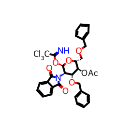 CC(=O)O[C@H]1[C@H](OCc2ccccc2)[C@@H](N2C(=O)c3ccccc3C2=O)[C@@H](OC(=N)C(Cl)(Cl)Cl)O[C@@H]1COCc1ccccc1